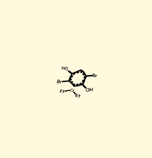 CCOCC.Oc1cc(Br)c(O)cc1Br